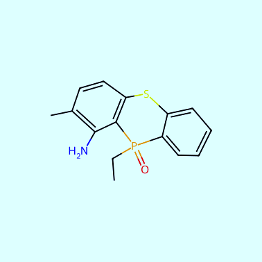 CCP1(=O)c2ccccc2Sc2ccc(C)c(N)c21